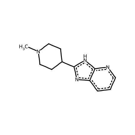 CN1CCC(c2nc3cccnc3[nH]2)CC1